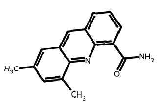 Cc1cc(C)c2nc3c(C(N)=O)cccc3cc2c1